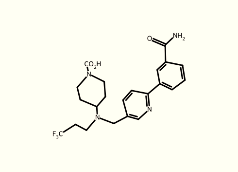 NC(=O)c1cccc(-c2ccc(CN(CCC(F)(F)F)C3CCN(C(=O)O)CC3)cn2)c1